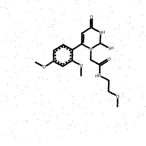 COCCNC(=O)CN1C(c2ccc(OC)cc2OC)=CC(=O)NC1S